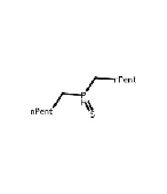 CCCCCC[PH](=S)CCCCCC